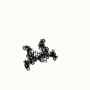 CC(=O)OCC(CNC(=O)c1c(I)c(NC(=O)OCC(C)(CO)COC(=O)Nc2c(I)c(C(=O)NCC(COC(C)=O)OC(C)=O)c(I)c(C(=O)NCC(COC(C)=O)OC(C)=O)c2I)c(I)c(C(=O)NCC(COC(C)=O)OC(C)=O)c1I)OC(C)=O